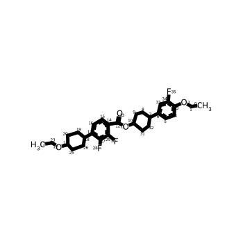 CCOc1ccc(C2CCC(OC(=O)c3ccc(C4CCC(OCC)CC4)c(F)c3F)CC2)cc1F